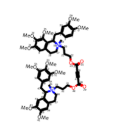 COc1ccc(CC2c3c(cc(OC)c(OC)c3OC)CC[N+]2(C)CCCOC(=O)C#CC(=O)OCCC[N+]2(C)CCc3cc(OC)c(OC)cc3C2Cc2cc(OC)c(OC)c(OC)c2)cc1OC